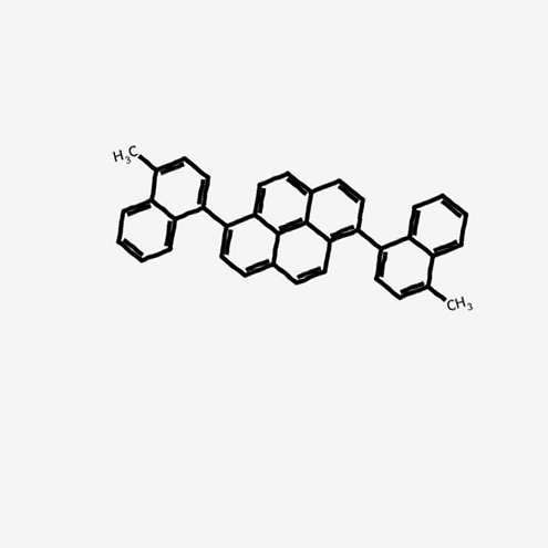 Cc1ccc(-c2ccc3ccc4c(-c5ccc(C)c6ccccc56)ccc5ccc2c3c54)c2ccccc12